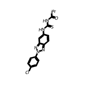 CC(C)C(=O)NC(=S)Nc1ccc2nn(-c3ccc(Cl)cc3)nc2c1